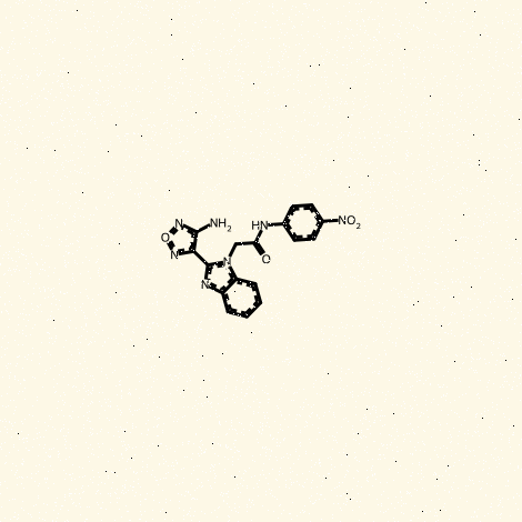 Nc1nonc1-c1nc2ccccc2n1CC(=O)Nc1ccc([N+](=O)[O-])cc1